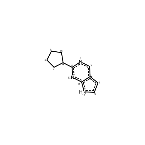 c1cc2cnc(C3CCCC3)nc2[nH]1